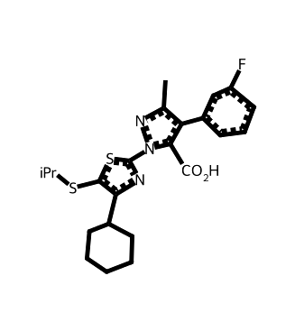 Cc1nn(-c2nc(C3CCCCC3)c(SC(C)C)s2)c(C(=O)O)c1-c1cccc(F)c1